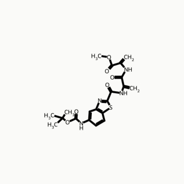 C=C(NC(=O)c1nc2cc(NC(=O)OC(C)(C)C)ccc2s1)C(=O)NC(=C)C(=O)OC